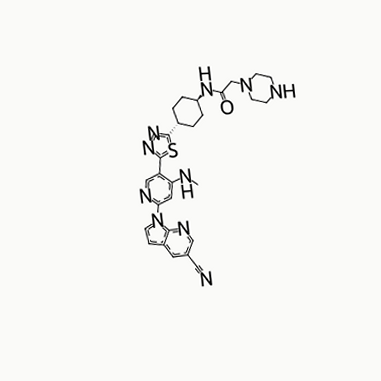 CNc1cc(-n2ccc3cc(C#N)cnc32)ncc1-c1nnc([C@H]2CC[C@H](NC(=O)CN3CCNCC3)CC2)s1